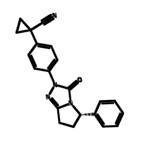 N#CC1(c2ccc(-n3nc4n(c3=O)[C@H](c3ccccc3)CC4)cc2)CC1